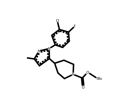 Cc1cc(C2CCN(C(=O)OC(C)(C)C)CC2)n(-c2ccc(F)c(Cl)c2)n1